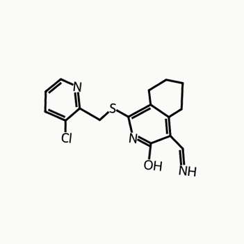 N=Cc1c(O)nc(SCc2ncccc2Cl)c2c1CCCC2